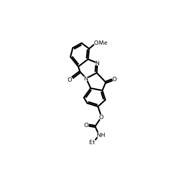 CCNC(=O)Oc1ccc2c(c1)C(=O)c1nc3c(OC)cccc3c(=O)n1-2